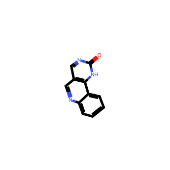 O=c1ncc2cnc3ccccc3c2[nH]1